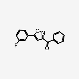 O=C(c1ccccc1)c1cc(-c2cccc(F)c2)on1